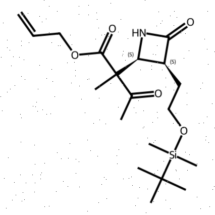 C=CCOC(=O)C(C)(C(C)=O)[C@H]1NC(=O)[C@H]1CCO[Si](C)(C)C(C)(C)C